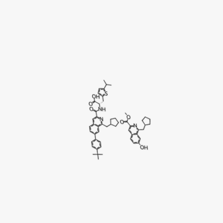 CC(C)c1ccc(C[C@H](NC(=O)c2cc3ccc(-c4ccc(C(C)(C)C)cc4)cc3c(CC3CCCC3)n2)C(=O)O)s1.COC(=O)c1cc2ccc(O)cc2c(CC2CCCC2)n1